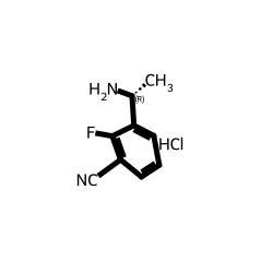 C[C@@H](N)c1cccc(C#N)c1F.Cl